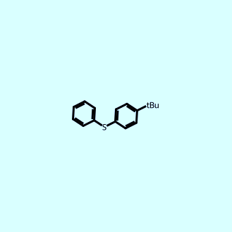 CC(C)(C)c1ccc(Sc2ccccc2)cc1